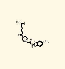 CC(=S)CCCCC(=O)N1CCN(CC(=O)Nc2nc3ccc(C)cc3s2)CC1